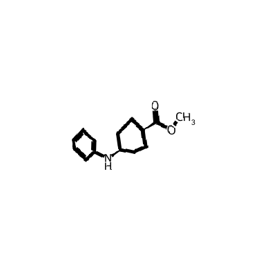 COC(=O)[C@H]1CC[C@@H](Nc2ccccc2)CC1